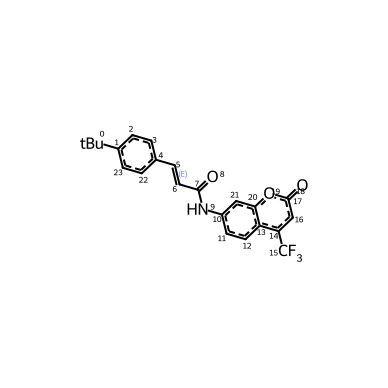 CC(C)(C)c1ccc(/C=C/C(=O)Nc2ccc3c(C(F)(F)F)cc(=O)oc3c2)cc1